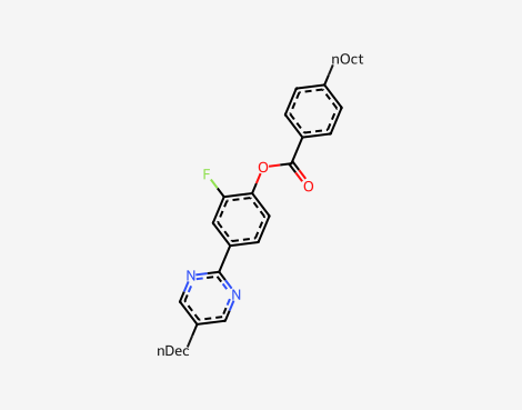 CCCCCCCCCCc1cnc(-c2ccc(OC(=O)c3ccc(CCCCCCCC)cc3)c(F)c2)nc1